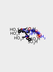 CC1(C)C(/C=C/C(=C/C=C2/N(CCCS(=O)(=O)O)c3ccc4c(S(=O)(=O)O)cc(S(=O)(=O)O)cc4c3C2(C)C)c2ccc(C(=O)NCc3ccc(C(=O)Nc4nnc(S(N)(=O)=O)s4)cn3)cn2)=[N+](CCCS(=O)(=O)O)c2ccc3c(S(=O)(=O)O)cc(S(=O)(=O)O)cc3c21